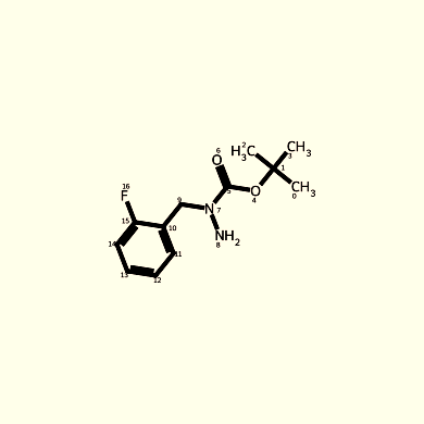 CC(C)(C)OC(=O)N(N)Cc1ccccc1F